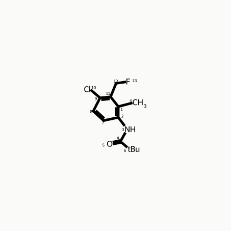 Cc1c(NC(=O)C(C)(C)C)ccc(Cl)c1CF